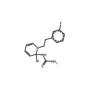 NC(=S)NC1(Br)C=CC=CN1CCc1cccc(F)c1